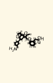 Cc1oc2c(cc(-c3cccc(CN)c3)c3occc32)c1COc1ccccc1CC(=O)O